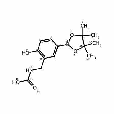 CC1(C)OB(c2ccc(O)c(CNC(=O)O)c2)OC1(C)C